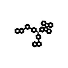 c1cc(-c2ccc(N(c3ccc(-c4cccc5ccccc45)cc3)c3ccc4c(c3)-c3ccccc3C43c4ccccc4-c4ccccc43)cc2)cc(-c2ccc3ccccc3c2)c1